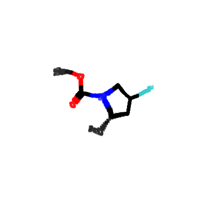 CC(=O)O[C@H]1CC(F)CN1C(=O)OC(C)(C)C